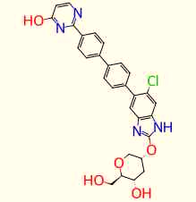 OC[C@H]1OC[C@H](Oc2nc3cc(-c4ccc(-c5ccc(-c6nccc(O)n6)cc5)cc4)c(Cl)cc3[nH]2)C[C@@H]1O